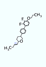 CC/C=C/C1CCC(c2ccc(-c3ccc(OCCC)c(F)c3F)cc2)CO1